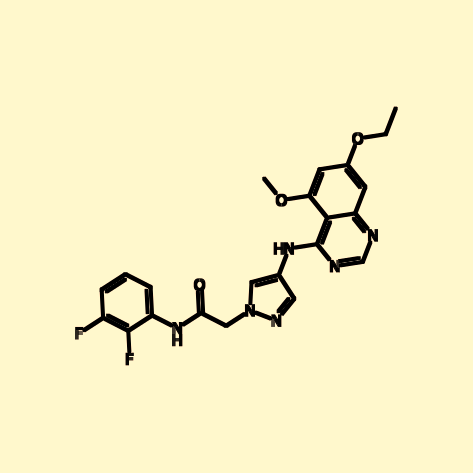 CCOc1cc(OC)c2c(Nc3cnn(CC(=O)Nc4cccc(F)c4F)c3)ncnc2c1